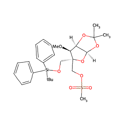 CO[C@H]1[C@H]2OC(C)(C)O[C@H]2O[C@@]1(CO[Si](c1ccccc1)(c1ccccc1)C(C)(C)C)COS(C)(=O)=O